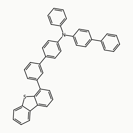 c1ccc(-c2ccc(N(c3ccccc3)c3ccc(-c4cccc(-c5cccc6c5sc5ccccc56)c4)cc3)cc2)cc1